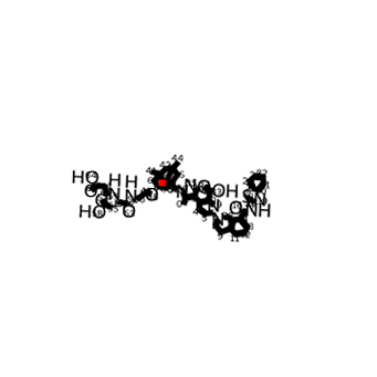 Cc1c(-c2ccc(N3CCc4cccc(C(=O)Nc5nc6ccccc6s5)c4C3)nc2C(=O)O)cnn1CC12CC3(C)CC(C)(C1)CC(OCCNC(=O)[C@H](CC(=O)O)NCCC(=O)O)(C3)C2